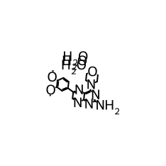 COc1ccc(-c2cnc3nc(N)nc(N4CCOCC4)c3n2)cc1OC.O.O.O